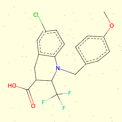 COc1ccc(CN2c3ccc(Cl)cc3CC(C(=O)O)C2C(F)(F)F)cc1